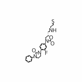 O=C1O[C@@H](CNCC=S)CN1c1ccc(N2CCN(c3ccccc3)C2=O)c(F)c1